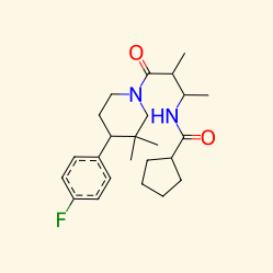 CC(NC(=O)C1CCCC1)C(C)C(=O)N1CCC(c2ccc(F)cc2)C(C)(C)C1